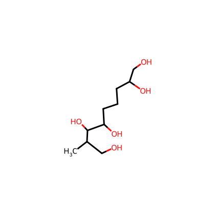 CC(CO)C(O)C(O)CCCC(O)CO